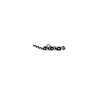 CCCCCCCCc1ccc(/N=N/c2ccc(/N=N/c3ccc(N4CCCC4)cc3)cc2Cl)cc1